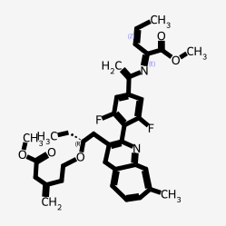 C=C(CCO[C@H](CC)CC1=C(c2c(F)cc(C(=C)/N=C(\C=C/C)C(=O)OC)cc2F)N=C2C=C(C)C=CC=C2C1)CC(=O)OC